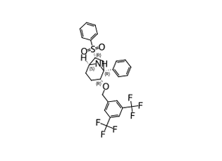 O=S(=O)(c1ccccc1)[C@@H]1C[C@]2(c3ccccc3)N[C@H]1CC[C@H]2OCc1cc(C(F)(F)F)cc(C(F)(F)F)c1